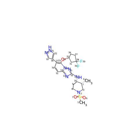 C[C@@H]1CN(S(C)(=O)=O)CC[C@@H]1Nc1nc2ccc(-c3cn[nH]c3)c(OC3CCC(F)(F)C3)n2n1